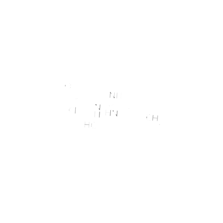 C=CCNC(=N)NCC(=O)Cl.Cl